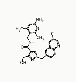 Cc1cc(N)nc(C)c1CNC(=O)c1cn(Cc2ccc3ncc(Cl)cc3c2)nc1CO